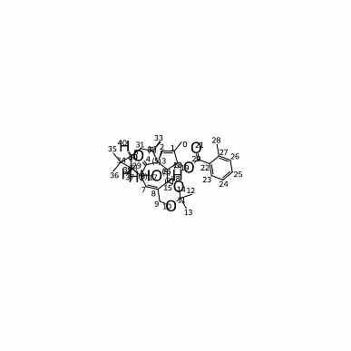 CC1=C[C@]23C(=O)[C@@H](C=C4COC(C)(C)O[C@H]4[C@]2(O)[C@H]1OC(=O)c1ccccc1C)[C@H]1[C@@H](C[C@H]3C)C1(C)C